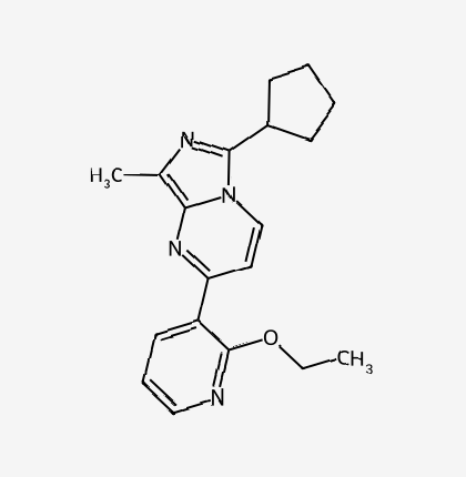 CCOc1ncccc1-c1ccn2c(C3CCCC3)nc(C)c2n1